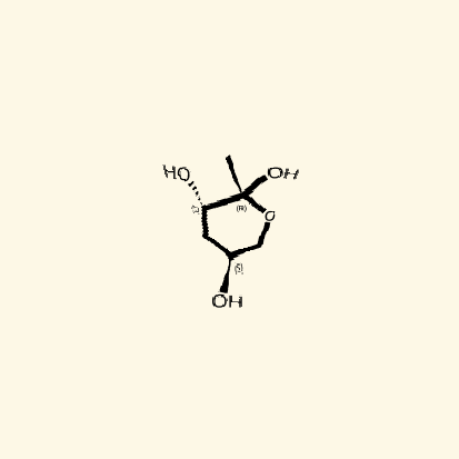 C[C@@]1(O)OC[C@@H](O)C[C@@H]1O